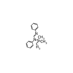 C[Si](C)(C)N(/C=N/c1ccccc1)c1ccccc1